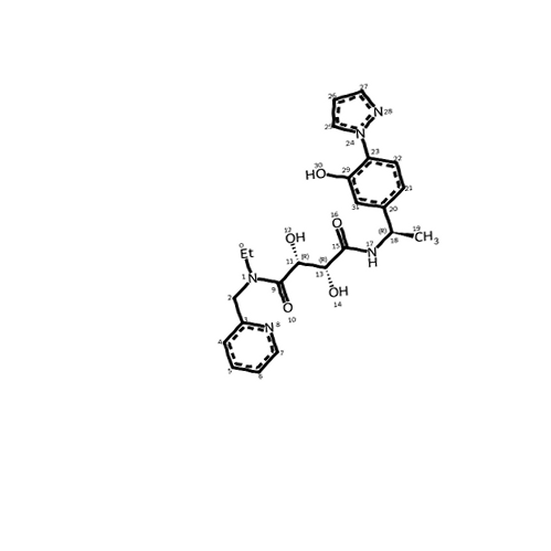 CCN(Cc1ccccn1)C(=O)[C@H](O)[C@@H](O)C(=O)N[C@H](C)c1ccc(-n2cccn2)c(O)c1